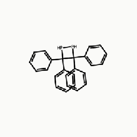 c1ccc(C2(c3ccccc3)PPC2(c2ccccc2)c2ccccc2)cc1